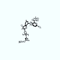 COc1cc(C2[C@H]3CN(c4nc5c([C@@H](C)Nc6ccc(Cl)nc6C(=O)NS(C)(=O)=O)cc(C)cc5c(=O)n4C)C[C@@H]23)n[nH]1